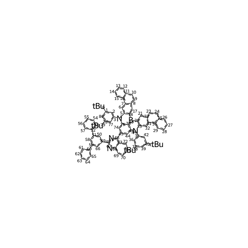 CC(C)(C)c1cc(N2c3cc4c(ccc5ccccc54)cc3B3c4cc5ccc6ccccc6c5cc4N(c4cc(C(C)(C)C)cc(C(C)(C)C)c4)c4cc(-c5nc(-c6cc(-c7ccccc7)cc(-c7ccccc7)c6)nc6ccccc56)cc2c43)cc(C(C)(C)C)c1